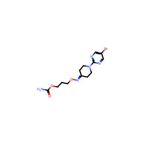 NC(=O)OCCCON=C1CCN(c2ncc(Br)cn2)CC1